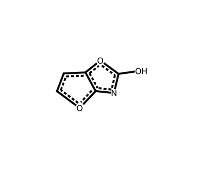 Oc1nc2occc2o1